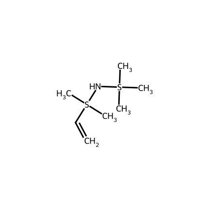 C=CS(C)(C)NS(C)(C)C